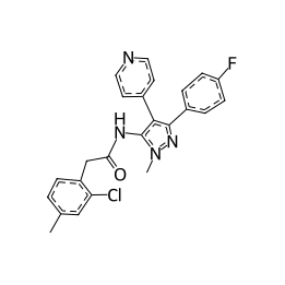 Cc1ccc(CC(=O)Nc2c(-c3ccncc3)c(-c3ccc(F)cc3)nn2C)c(Cl)c1